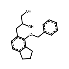 OCC(O)Cc1ccc2c(c1OCc1ccccc1)CCC2